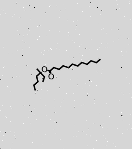 CCCCCCCCCCCC(=O)OC(C)(CC)CCCC